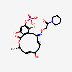 C[C@@H]1C/C=C/[C@H](O)C/C=C/C(=N/OCC(=O)N2CCCCC2)Cc2c(Cl)c(OP(=O)(O)O)cc(O)c2C(=O)O1